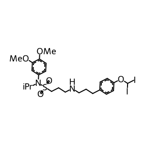 COc1ccc(N(C(C)C)S(=O)(=O)CCCNCCCc2ccc(OC(I)I)cc2)cc1OC